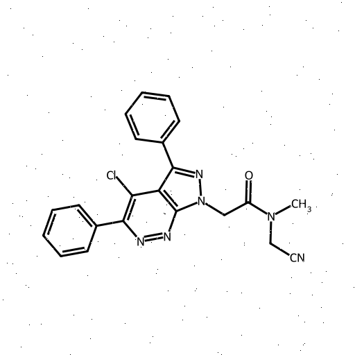 CN(CC#N)C(=O)Cn1nc(-c2ccccc2)c2c(Cl)c(-c3ccccc3)nnc21